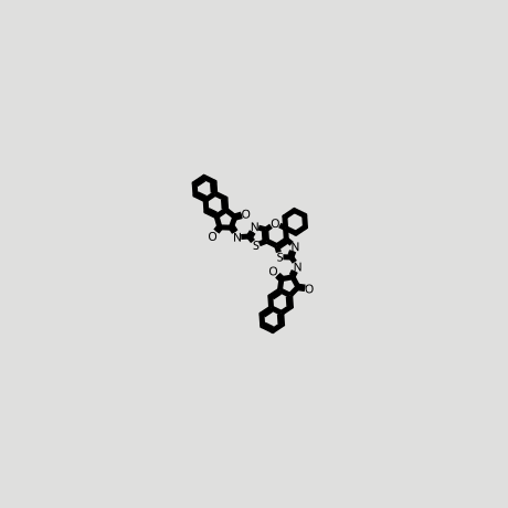 O=c1c(=Nc2nc3c(s2)-c2sc(N=c4c(=O)c5cc6ccccc6cc5c4=O)nc2C2(CCCCC2)O3)c(=O)c2cc3ccccc3cc12